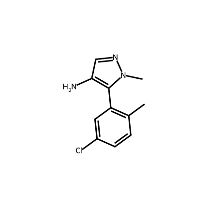 Cc1ccc(Cl)cc1-c1c(N)cnn1C